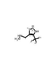 NNCC1=C(C(F)(F)F)NNS1